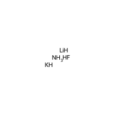 F.N.[KH].[LiH]